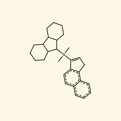 C[Si](C)(C1=CCc2c1ccc1ccccc21)C1C2CCCCC2C2CCCCC21